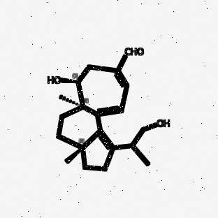 CC(CO)C1=C2C3=CC=C(C=O)C[C@H](O)[C@]3(C)CC[C@@]2(C)CC1